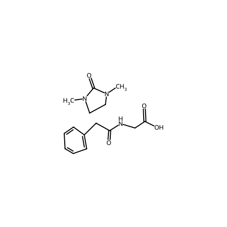 CN1CCN(C)C1=O.O=C(O)CNC(=O)Cc1ccccc1